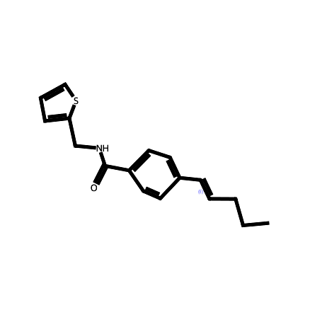 CCC/C=C/c1ccc(C(=O)NCc2cccs2)cc1